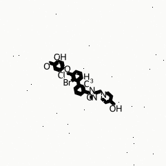 Cc1c(-c2nc(CN3CCC(CO)CC3)no2)cccc1-c1cccc(COc2cc(O)c(C=O)cc2Cl)c1Br